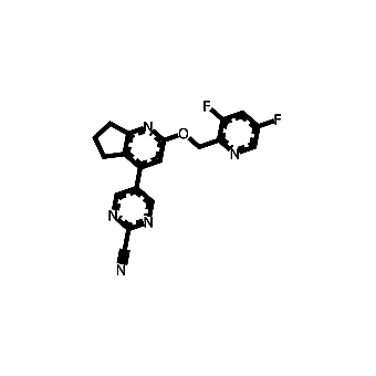 N#Cc1ncc(-c2cc(OCc3ncc(F)cc3F)nc3c2CCC3)cn1